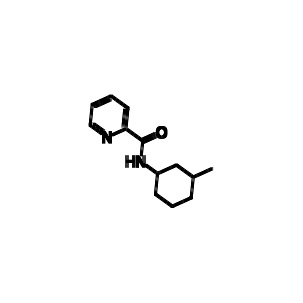 CC1CCCC(NC(=O)c2ccccn2)C1